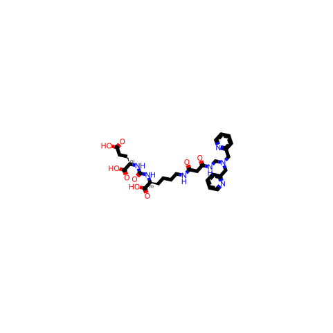 O=C(O)CC[C@H](NC(=O)N[C@@H](CCCCNC(=O)CC(=O)NCN(Cc1ccccn1)Cc1ccccn1)C(=O)O)C(=O)O